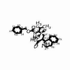 CC(C)C(NC(=O)OCc1ccccc1)P(=O)(O)CC(C(=O)O)C1NCCc2ccccc21